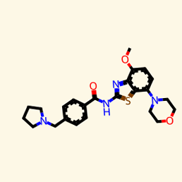 COc1ccc(N2CCOCC2)c2sc(NC(=O)c3ccc(CN4CCCC4)cc3)nc12